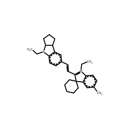 CCN1c2ccc(/C=C/C3=[N+](CC)c4ccc(C)cc4C34CCCCC4)cc2C2CCCC21